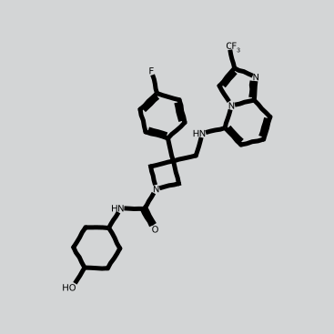 O=C(NC1CCC(O)CC1)N1CC(CNc2cccc3nc(C(F)(F)F)cn23)(c2ccc(F)cc2)C1